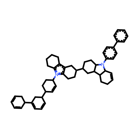 C1=CCC(C2=CC=CC(C3C=CC(n4c5c(c6c4CCC(C4CCC7C(C4)C4CCC=CC4N7c4ccc(-c7ccccc7)cc4)C6)CCCC5)CC3)C2)C=C1